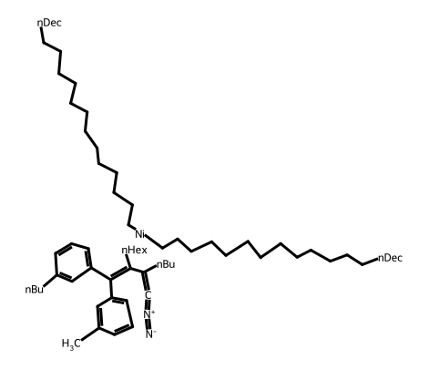 CCCCCCC(C(=C=[N+]=[N-])CCCC)=C(c1cccc(C)c1)c1cccc(CCCC)c1.CCCCCCCCCCCCCCCCCCCCCC[CH2][Ni][CH2]CCCCCCCCCCCCCCCCCCCCCC